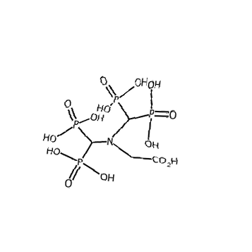 O=C(O)CN(C(P(=O)(O)O)P(=O)(O)O)C(P(=O)(O)O)P(=O)(O)O